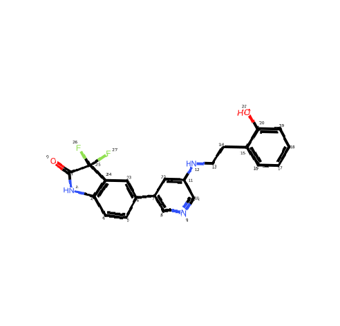 O=C1Nc2ccc(-c3cncc(NCCc4ccccc4O)c3)cc2C1(F)F